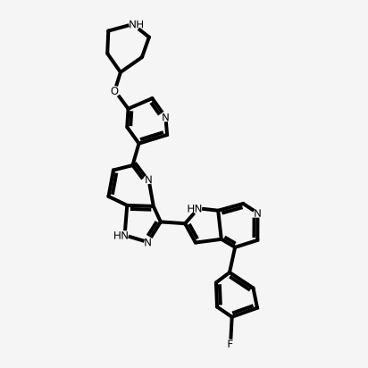 Fc1ccc(-c2cncc3[nH]c(-c4n[nH]c5ccc(-c6cncc(OC7CCNCC7)c6)nc45)cc23)cc1